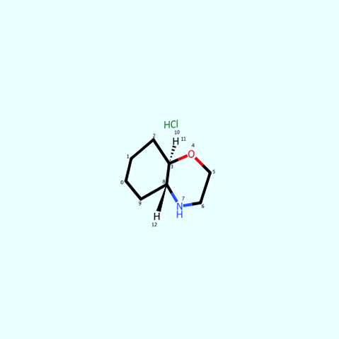 C1CC[C@H]2OCCN[C@@H]2C1.Cl